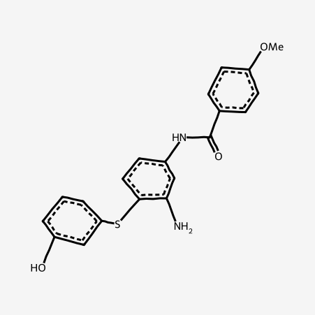 COc1ccc(C(=O)Nc2ccc(Sc3cccc(O)c3)c(N)c2)cc1